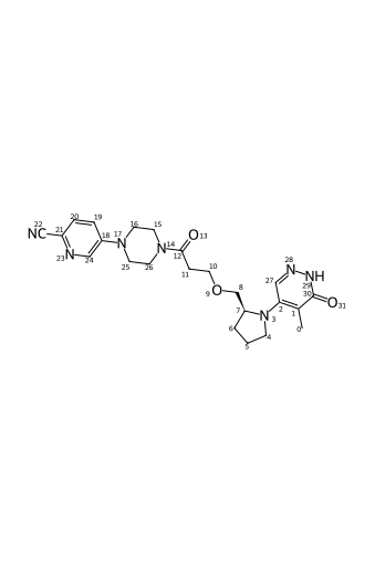 Cc1c(N2CCC[C@H]2COCCC(=O)N2CCN(c3ccc(C#N)nc3)CC2)cn[nH]c1=O